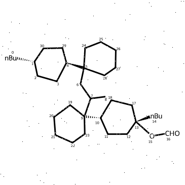 CCCC[C@H]1CC[C@H](C2(CC(C)C3([C@H]4CC[C@@](CCCC)(OC=O)CC4)CCCCC3)CCCCC2)CC1